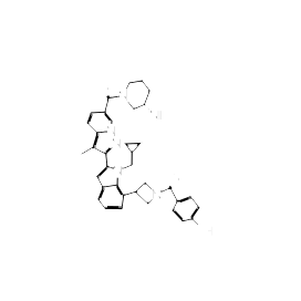 Cc1c(-c2cc3cccc(C4CN(C(=O)c5ccc(O)cc5)C4)c3n2CC2CC2)nn2cc(C(=O)N3C[C@H](N)C[C@@H](F)C3)ccc12